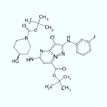 CC(C)(C)OC(=O)c1cc(N[C@H]2CN(C(=O)OC(C)(C)C)CC[C@@H]2O)nc2c(Cl)c(Nc3cccc(F)c3)nn12